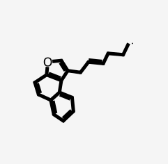 [CH2]CCC=CCc1coc2ccc3ccccc3c12